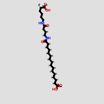 C[C@@H](CCCCNC(=O)CCCNC(=O)CCCCCCCCCCCCCCC(=O)O)C(=O)O